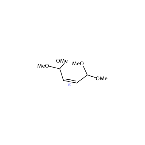 COC(/C=C\C(OC)OC)OC